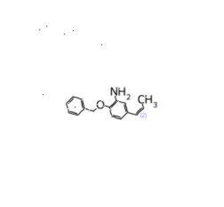 C/C=C\c1ccc(OCc2ccccc2)c(N)c1